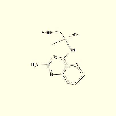 CCC[C@](C)(CNC(C)=O)Nc1nc(N)nc2cccnc12